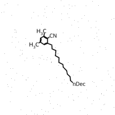 CCCCCCCCCCCCCCCCCCCCCCc1cc(C)cc(C)c1C#N